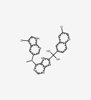 CN(c1cnc2[nH]cc(Cl)c2c1)c1ncnc2nc(C(O)(O)c3ccc4ncc(Cl)cc4c3)[nH]c12